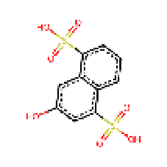 O=S(=O)(O)c1cccc2c(S(=O)(=O)O)cc(O)[c]c12